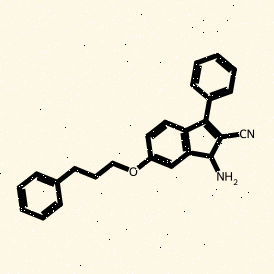 N#CC1=C(c2ccccc2)c2ccc(OCCCc3ccccc3)cc2C1N